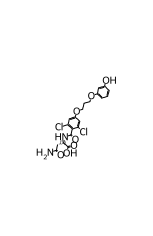 NC(=O)C[C@H](NC(=O)c1c(Cl)cc(OCCCOc2cccc(O)c2)cc1Cl)C(=O)O